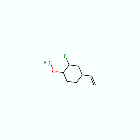 C=CC1CCC(OC(F)(F)F)C(F)C1